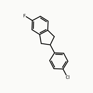 Fc1ccc2c(c1)CC(c1ccc(Cl)cc1)C2